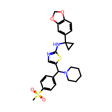 CS(=O)(=O)c1ccc(C(c2cnc(NC3(c4ccc5c(c4)OCO5)CC3)s2)N2CCCCC2)cc1